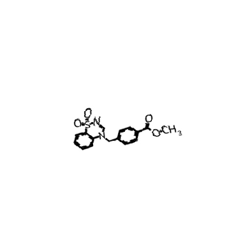 COC(=O)c1ccc(CN2C=NS(=O)(=O)c3ccccc32)cc1